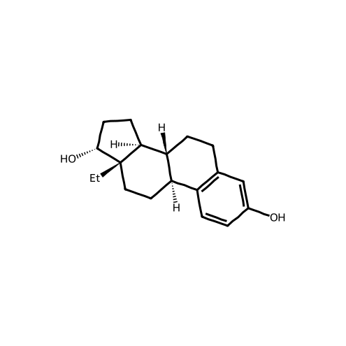 CC[C@]12CC[C@@H]3c4ccc(O)cc4CC[C@H]3[C@@H]1CC[C@H]2O